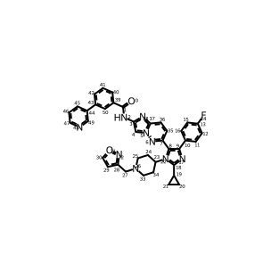 O=C(Nc1cn2nc(-c3c(-c4ccc(F)cc4)nc(C4CC4)n3C3CCN(Cc4ccon4)CC3)ccc2n1)c1cccc(-c2cccnc2)c1